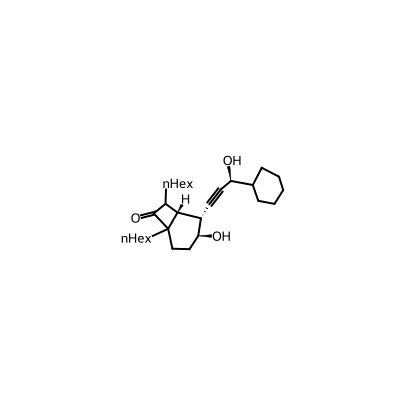 CCCCCCC1C(=O)C2(CCCCCC)CC[C@H](O)[C@@H](C#C[C@@H](O)C3CCCCC3)[C@@H]12